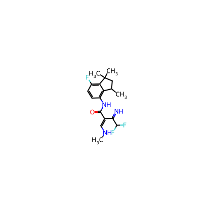 CN/C=C(\C(=N)C(F)F)C(=O)Nc1ccc(F)c2c1C(C)CC2(C)C